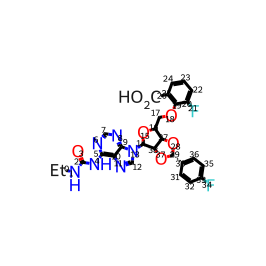 CCNC(=O)Nc1ncnc2c1ncn2C1OC(COc2c(F)cccc2C(=O)O)C2O[C@H](c3ccc(F)cc3)OC21